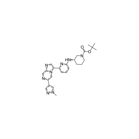 Cn1cc(-c2cn3c(-c4cccc(N[C@@H]5CCCN(C(=O)OC(C)(C)C)C5)n4)cnc3cn2)cn1